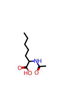 CCCCCC(NC(C)=O)C(=O)O